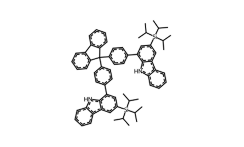 CC(C)[Si](c1cc(-c2ccc(C3(c4ccc(-c5cc([Si](C(C)C)(C(C)C)C(C)C)cc6c5[nH]c5ccccc56)cc4)c4ccccc4-c4ccccc43)cc2)c2[nH]c3ccccc3c2c1)(C(C)C)C(C)C